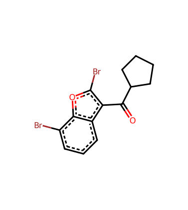 O=C(c1c(Br)oc2c(Br)cccc12)C1CCCC1